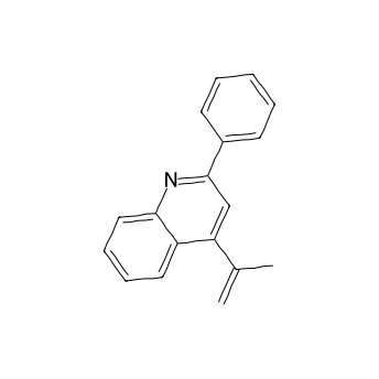 C=C(C)c1cc(-c2ccccc2)nc2ccccc12